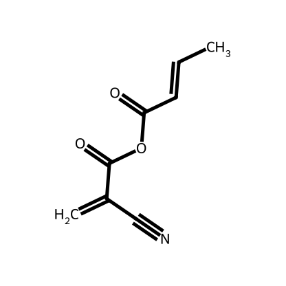 C=C(C#N)C(=O)OC(=O)C=CC